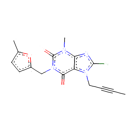 CC#CCn1c(Br)nc2c1c(=O)n(Cc1ccc(C)o1)c(=O)n2C